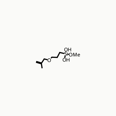 C=C(C)COCCC[Si](O)(O)OC